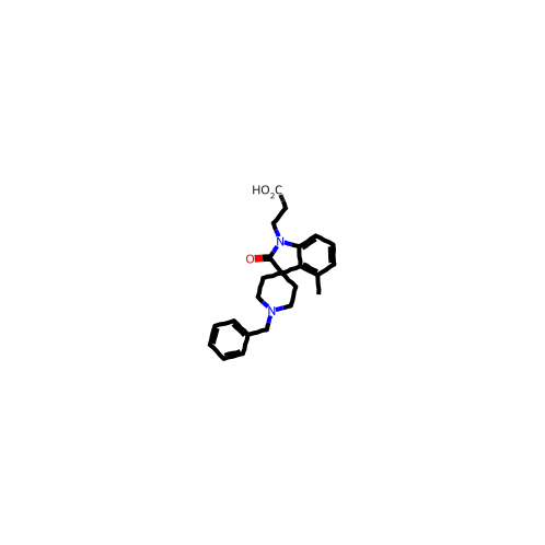 Cc1cccc2c1C1(CCN(Cc3ccccc3)CC1)C(=O)N2CCC(=O)O